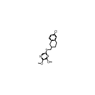 COc1ncc(SCC2CCc3cc(Cl)ccc3C2)nc1OC